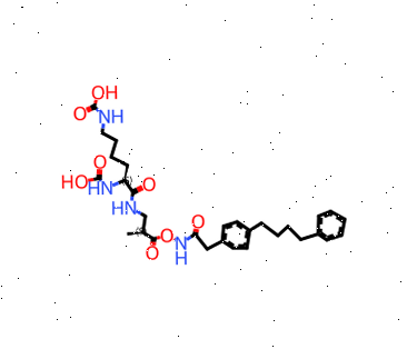 C[C@@H](CNC(=O)[C@H](CCCCNC(=O)O)NC(=O)O)C(=O)ONC(=O)Cc1ccc(CCCCc2ccccc2)cc1